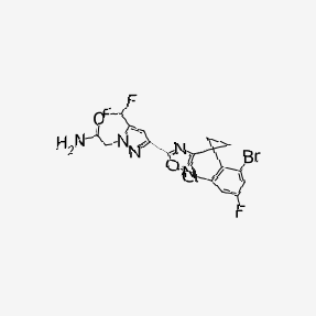 NC(=O)Cn1nc(-c2nc(C3(c4c(Cl)cc(F)cc4Br)CC3)no2)cc1C(F)F